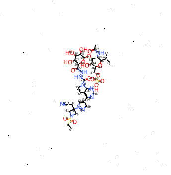 CCS(=O)(=O)N1CC(CC#N)(n2cc(-c3ncnc4c3ccn4C(=O)NNC(=O)C3OC(OC4C(O)C(COS(=O)(=O)O)OC(C(C)C)C4NC(C)=O)C(O)C(O)C3O)cn2)C1